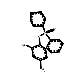 Cc1ccc(OP(=O)(c2ccccc2)c2ccccc2)c(C)c1